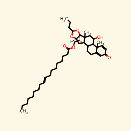 CCCCCCCC/C=C/CCCCCCCC(=O)OCC(=O)[C@@]12OC(CCC)O[C@@H]1CC1C3CCC4=CC(=O)C=CC4(C)C3C(O)CC12C